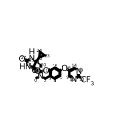 CN(Cc1ccc(Oc2cnc(C(F)(F)F)nc2)cc1)S(=O)(=O)C[C@]1(C2CC2)NC(=O)NC1=O